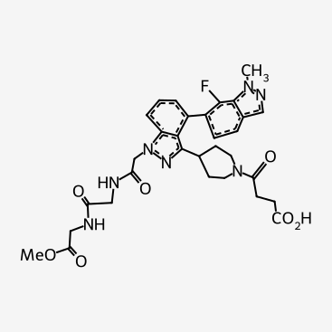 COC(=O)CNC(=O)CNC(=O)Cn1nc(C2CCN(C(=O)CCC(=O)O)CC2)c2c(-c3ccc4cnn(C)c4c3F)cccc21